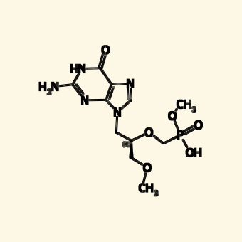 COC[C@@H](Cn1cnc2c(=O)[nH]c(N)nc21)OCP(=O)(O)OC